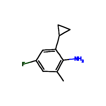 Cc1cc(F)cc(C2CC2)c1N